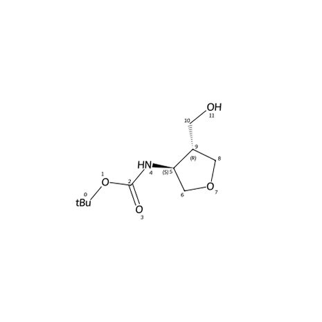 CC(C)(C)OC(=O)N[C@@H]1COC[C@H]1CO